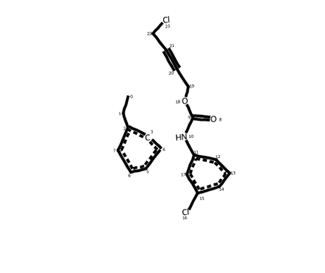 CCc1ccccc1.O=C(Nc1cccc(Cl)c1)OCC#CCCl